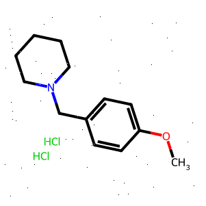 COc1ccc(CN2CCCCC2)cc1.Cl.Cl